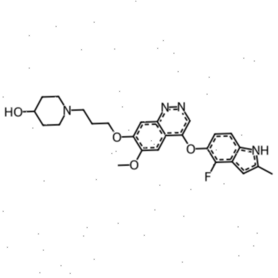 COc1cc2c(Oc3ccc4[nH]c(C)cc4c3F)cnnc2cc1OCCCN1CCC(O)CC1